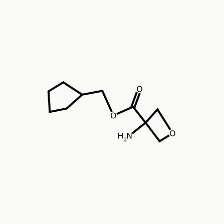 NC1(C(=O)OCC2CCCC2)COC1